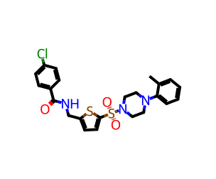 Cc1ccccc1N1CCN(S(=O)(=O)c2ccc(CNC(=O)c3ccc(Cl)cc3)s2)CC1